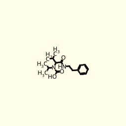 CC(C)C(C(=O)NCCc1ccccc1)N(C(=O)O)C(C)C